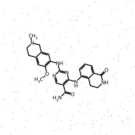 COc1cc2c(cc1Nc1ncc(C(N)=O)c(Nc3cccc4c3CCNC4=O)n1)CN(C)CC2